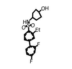 CCc1cc(-c2ccc(F)cc2F)ccc1S(=O)(=O)NC1CCC(O)CC1